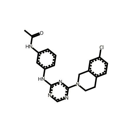 CC(=O)Nc1cccc(Nc2ncnc(N3CCc4ccc(Cl)cc4C3)n2)c1